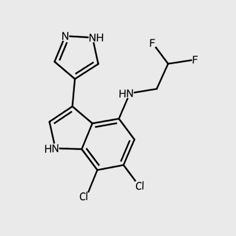 FC(F)CNc1cc(Cl)c(Cl)c2[nH]cc(-c3cn[nH]c3)c12